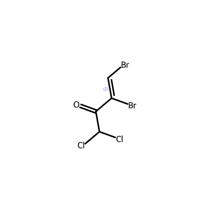 O=C(/C(Br)=C/Br)C(Cl)Cl